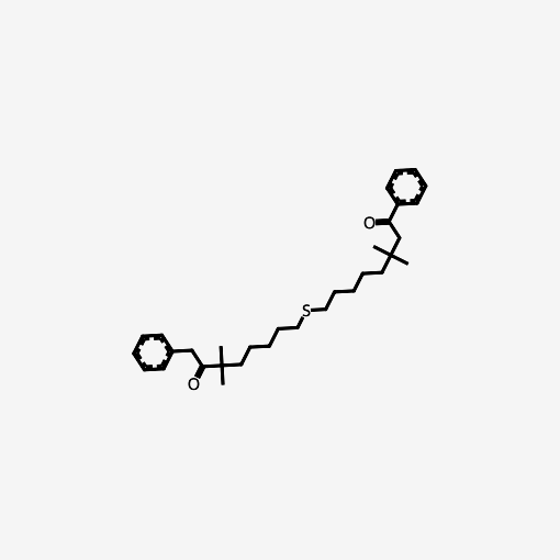 CC(C)(CCCCCSCCCCCC(C)(C)C(=O)Cc1ccccc1)CC(=O)c1ccccc1